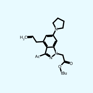 C=CCc1cc(N2CCCC2)cc2c1c(C(C)=O)nn2CC(=O)OC(C)(C)C